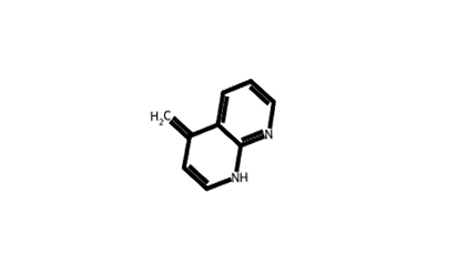 C=C1C=CNc2ncccc21